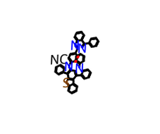 N#Cc1cc(-c2nc(-c3ccccc3)c3ccccc3n2)ccc1-n1c2ccccc2c2c3sc4ccccc4c3c3c4ccccc4n(-c4ccccc4)c3c21